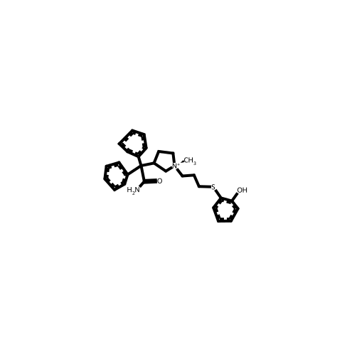 C[N@@+]1(CCCSc2ccccc2O)CCC(C(C(N)=O)(c2ccccc2)c2ccccc2)C1